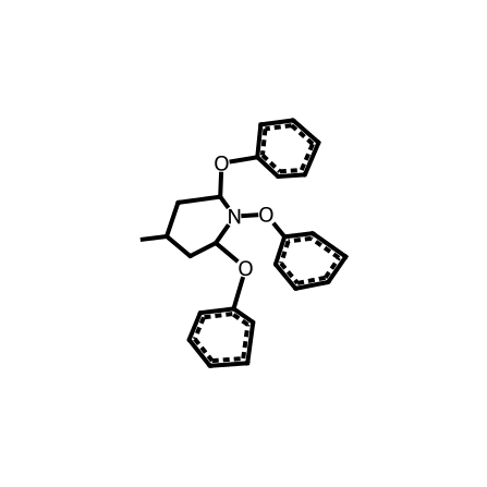 CC1CC(Oc2ccccc2)N(Oc2ccccc2)C(Oc2ccccc2)C1